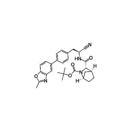 Cc1nc2cc(-c3ccc(C[C@@H](C#N)NC(=O)[C@@H]4[C@H]5CC[C@H](C5)N4C(=O)OC(C)(C)C)cc3)ccc2o1